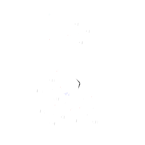 CC(C)(C)OC(=O)N[C@@H](C[C@H](Cc1ccc(OCCF)c(OC(C)(C)C)c1)C(=O)OC(C)(C)C)C(=O)OC(C)(C)C